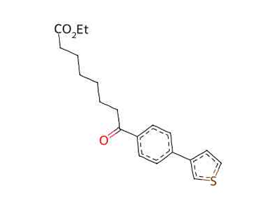 CCOC(=O)CCCCCCC(=O)c1ccc(-c2ccsc2)cc1